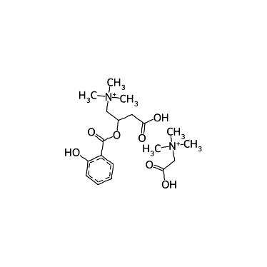 C[N+](C)(C)CC(=O)O.C[N+](C)(C)CC(CC(=O)O)OC(=O)c1ccccc1O